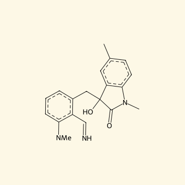 CNc1cccc(CC2(O)C(=O)N(C)c3ccc(C)cc32)c1C=N